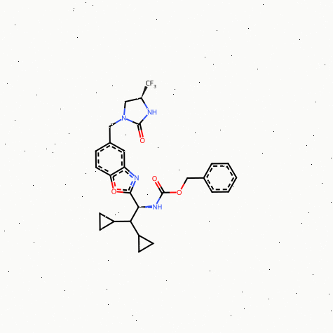 O=C(N[C@H](c1nc2cc(CN3C[C@@H](C(F)(F)F)NC3=O)ccc2o1)C(C1CC1)C1CC1)OCc1ccccc1